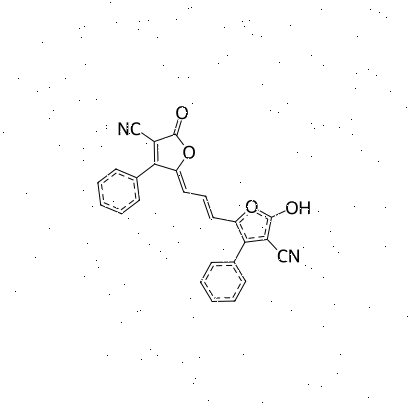 N#CC1=C(c2ccccc2)C(=CC=Cc2oc(O)c(C#N)c2-c2ccccc2)OC1=O